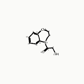 O=C(CS)N1CCOc2ccccc21